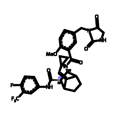 COc1ccc(CN2C(=O)CNC2=O)cc1C(=O)N[C@@H]1C2CCC(/C2=C/C2CC2)[C@@H]1C(=O)Nc1ccc(F)c(C(F)(F)F)c1